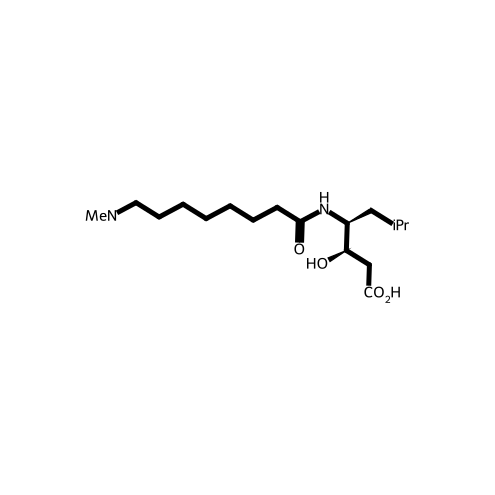 CNCCCCCCCC(=O)N[C@@H](CC(C)C)[C@H](O)CC(=O)O